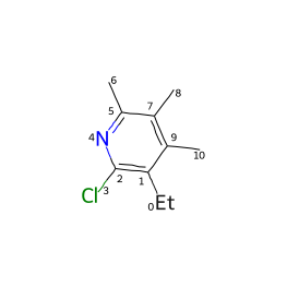 CCc1c(Cl)nc(C)c(C)c1C